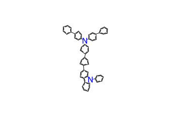 c1ccc(-c2ccc(N(c3ccc(-c4ccccc4)cc3)c3ccc(-c4ccc(-c5ccc6c7ccccc7n(-c7ccccc7)c6c5)cc4)cc3)cc2)cc1